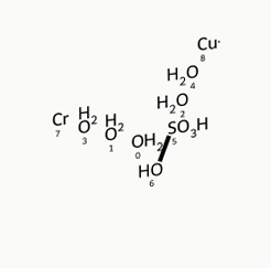 O.O.O.O.O.O=S(=O)(O)O.[Cr].[Cu]